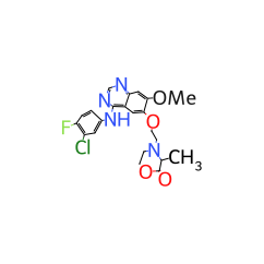 COc1cc2ncnc(Nc3ccc(F)c(Cl)c3)c2cc1OCCN1CCOC(=O)C1C